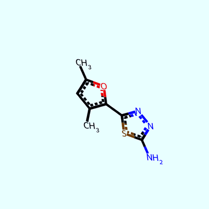 Cc1cc(C)c(-c2nnc(N)s2)o1